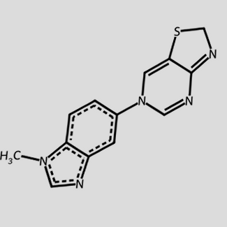 Cn1cnc2cc(N3C=NC4=NCSC4=C3)ccc21